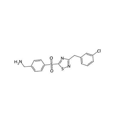 NCc1ccc(S(=O)(=O)c2nc(Cc3cccc(Cl)c3)ns2)cc1